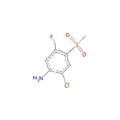 CS(=O)(=O)c1cc(Cl)c(N)cc1F